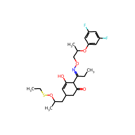 CCSOC(C)CC1C=C(O)C(C(CC)=NOCC(C)Oc2cc(F)cc(F)c2)C(=O)C1